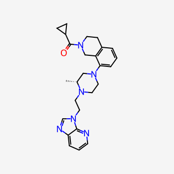 C[C@@H]1CN(c2cccc3c2CN(C(=O)C2CC2)CC3)CCN1CCn1cnc2cccnc21